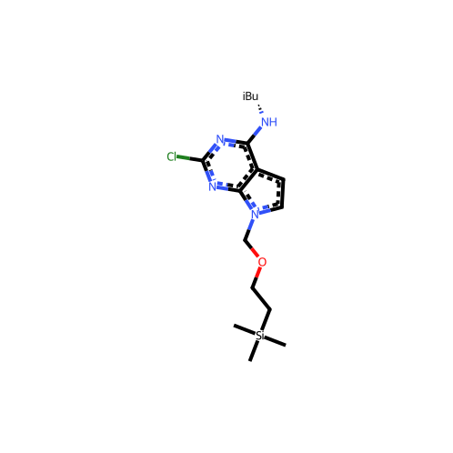 CC[C@@H](C)Nc1nc(Cl)nc2c1ccn2COCC[Si](C)(C)C